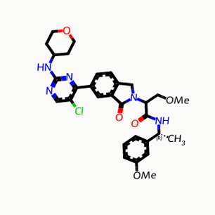 COCC(C(=O)N[C@H](C)c1cccc(OC)c1)N1Cc2ccc(-c3nc(NC4CCOCC4)ncc3Cl)cc2C1=O